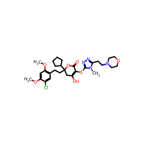 COc1cc(OC)c(CCC2(C3CCCC3)CC(O)=C(Sc3nnc(CCN4CCOCC4)n3C)C(=O)O2)cc1Cl